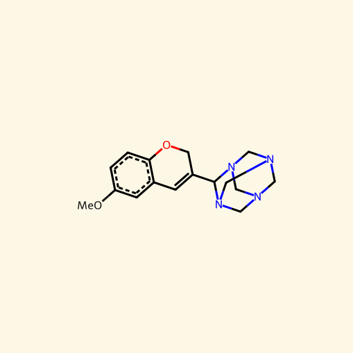 COc1ccc2c(c1)C=C(C1N3CN4CN(C3)CN1C4)CO2